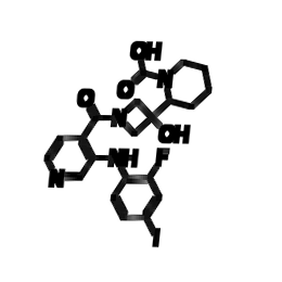 O=C(c1ccncc1Nc1ccc(I)cc1F)N1CC(O)(C2CCCCN2C(=O)O)C1